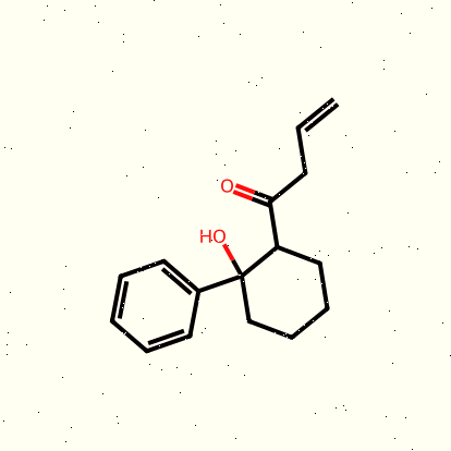 C=CCC(=O)C1CCCCC1(O)c1ccccc1